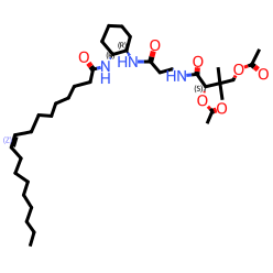 CCCCCCCC/C=C\CCCCCCCC(=O)N[C@@H]1CCCC[C@H]1NC(=O)CCNC(=O)[C@@H](OC(C)=O)C(C)(C)COC(C)=O